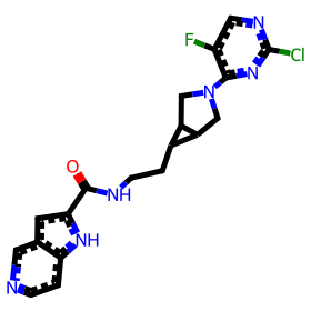 O=C(NCCC1C2CN(c3nc(Cl)ncc3F)CC12)c1cc2cnccc2[nH]1